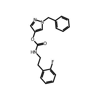 O=C(NCCc1ccccc1F)Oc1cnn(Cc2ccccc2)c1